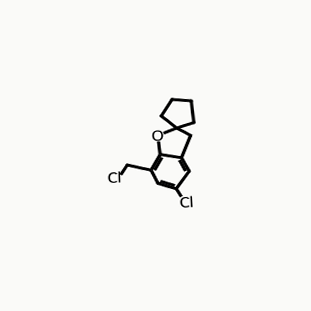 ClCc1cc(Cl)cc2c1OC1(CCCC1)C2